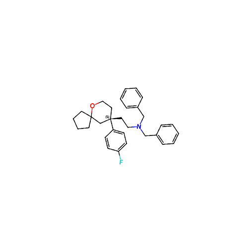 Fc1ccc([C@@]2(CCN(Cc3ccccc3)Cc3ccccc3)CCOC3(CCCC3)C2)cc1